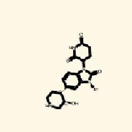 CCn1c(=O)n(C2CCC(=O)NC2=O)c2ccc([C@H]3CCNC[C@@H]3O)cc21